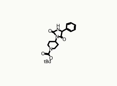 CC(C)(C)OC(=O)N1CCC(N2C(=O)NC(c3ccccc3)C2=O)CC1